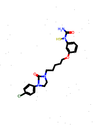 NC(=O)N(S)c1cccc(OCCCCCN2CCN(c3ccc(Cl)cc3)C2=O)c1